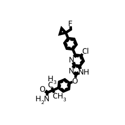 CC(C)(C(N)=O)c1ccc(Oc2nc3nc(-c4ccc(C5(CF)CC5)cc4)c(Cl)cc3[nH]2)cc1